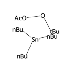 CC(=O)OOC(C)(C)C.CCC[CH2][Sn]([CH2]CCC)[CH2]CCC